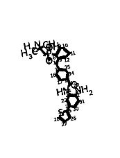 CC(C)(N)CP(=O)(O)c1ccccc1Cc1ccc(C(=O)Nc2cc(-c3cccs3)ccc2N)cc1